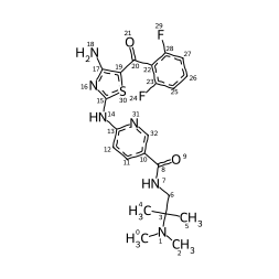 CN(C)C(C)(C)CNC(=O)c1ccc(Nc2nc(N)c(C(=O)c3c(F)cccc3F)s2)nc1